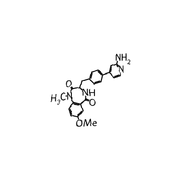 COc1ccc2c(c1)C(=O)NC(Cc1ccc(-c3ccnc(N)c3)cc1)C(=O)N2C